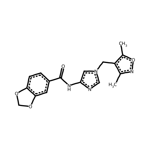 Cc1noc(C)c1Cn1cnc(NC(=O)c2ccc3c(c2)OCO3)c1